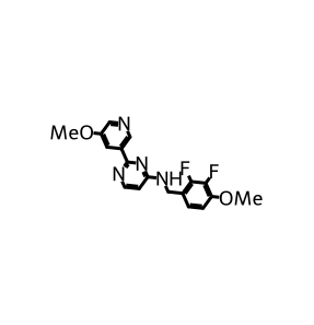 COc1cncc(-c2nccc(NCc3ccc(OC)c(F)c3F)n2)c1